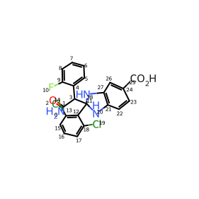 NC(=O)C(c1ccccc1F)C1(c2c(Cl)cccc2Cl)Nc2ccc(C(=O)O)cc2N1